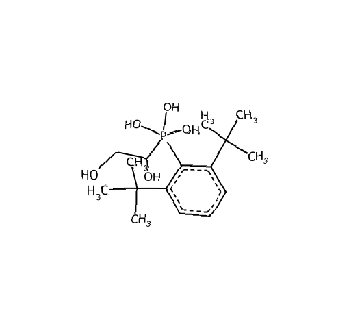 CC(C)(C)c1cccc(C(C)(C)C)c1P(O)(O)(O)C(O)CO